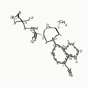 C[C@@H]1CN(c2ccc(C#N)c3nccnc23)C[C@H](C(=O)NCC2(F)CNC2)O1